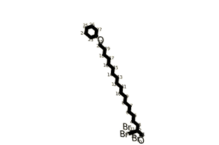 O=[C]C(CCCCCCCCCCCCCCCCCCOC1CC[CH]CC1)C(Br)(Br)Br